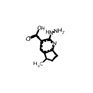 CC1CCc2nc(NN)c(C(=O)O)cc21